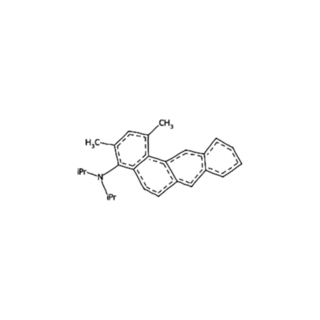 Cc1cc(C)c2c(ccc3cc4ccccc4cc32)c1N(C(C)C)C(C)C